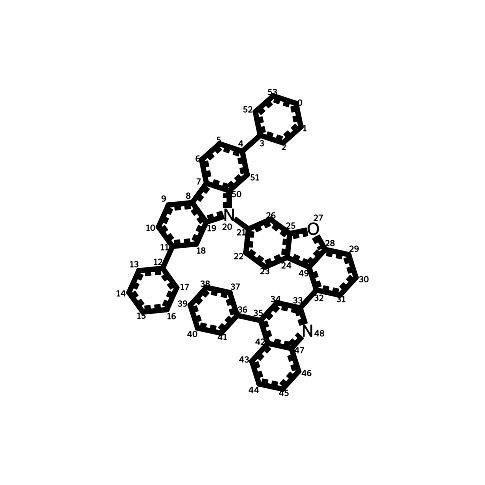 c1ccc(-c2ccc3c4ccc(-c5ccccc5)cc4n(-c4ccc5c(c4)oc4cccc(-c6cc(-c7ccccc7)c7ccccc7n6)c45)c3c2)cc1